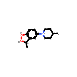 CC1CCN(c2ccc3c(c2)C(C)OO3)CC1